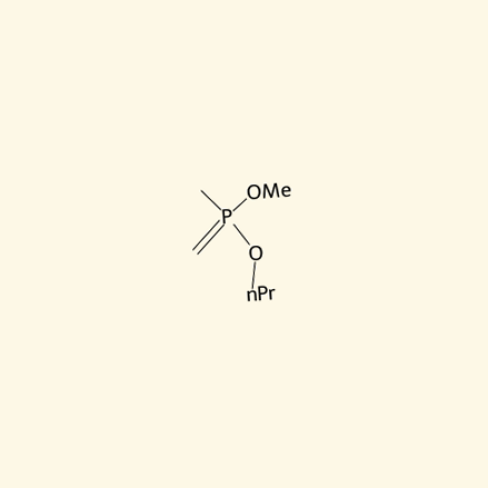 C=P(C)(OC)OCCC